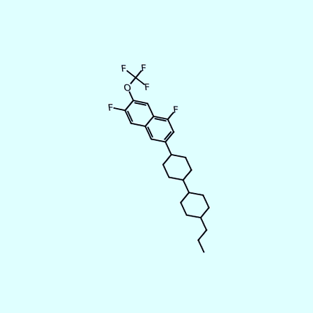 CCCC1CCC(C2CCC(c3cc(F)c4cc(OC(F)(F)F)c(F)cc4c3)CC2)CC1